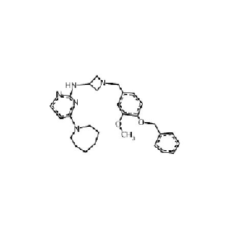 COc1cc(CN2CC(Nc3nccc(N4CCCCCC4)n3)C2)ccc1OCc1ccccc1